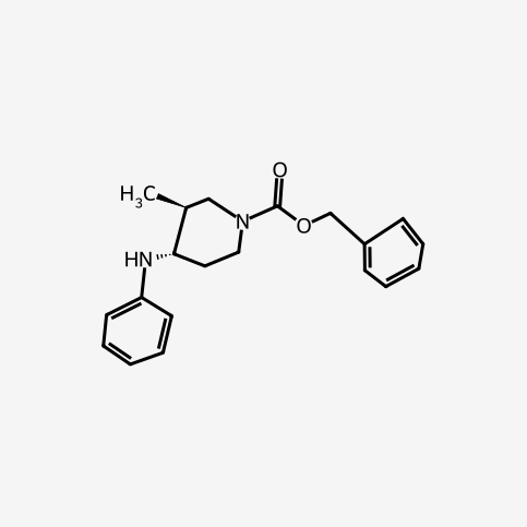 C[C@H]1CN(C(=O)OCc2ccccc2)CC[C@@H]1Nc1ccccc1